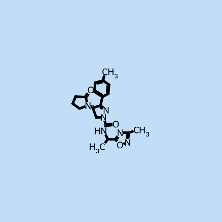 Cc1ccc(C2=NN(C(=O)NC(C)c3nc(C)no3)C[C@@H]2N2CCCC2=O)cc1